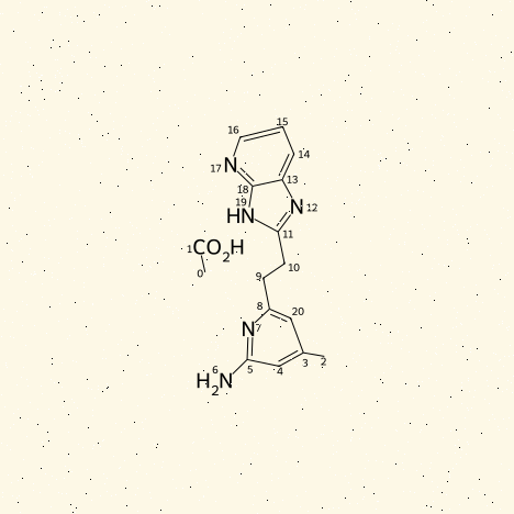 CC(=O)O.Cc1cc(N)nc(CCc2nc3cccnc3[nH]2)c1